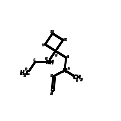 CCNC1(CN(C)C=O)CCC1